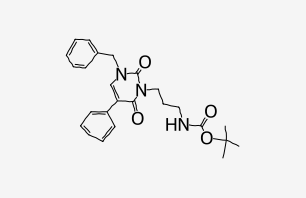 CC(C)(C)OC(=O)NCCCn1c(=O)c(-c2ccccc2)cn(Cc2ccccc2)c1=O